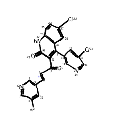 O=C(/C=C/c1cncc(F)c1)c1c(-c2cncc(Cl)c2)c2cc(Cl)ccc2[nH]c1=O